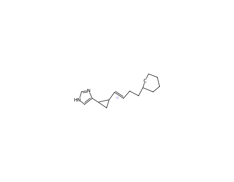 C(=C\C1CC1c1c[nH]cn1)/CCC1CCCCC1